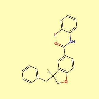 CC1(Cc2ccccc2)COc2ccc(C(=O)Nc3ccccc3I)cc21